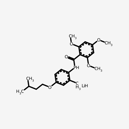 COc1cc(OC)c(C(=O)Pc2ccc(OCCC(C)C)cc2C)c(OC)c1.[LiH]